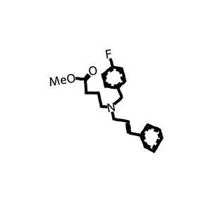 COC(=O)CCCN(CC=Cc1ccccc1)Cc1ccc(F)cc1